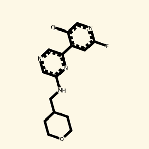 Fc1cc(-c2cncc(NCC3CCOCC3)n2)c(Cl)cn1